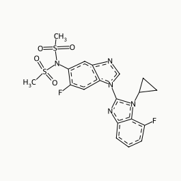 CS(=O)(=O)N(c1cc2ncn(-c3nc4cccc(F)c4n3C3CC3)c2cc1F)S(C)(=O)=O